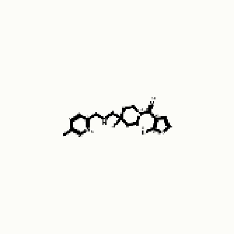 Cc1ccc(CNCC2(F)CCN(C(=O)c3ccsc3Br)CC2)nc1